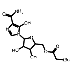 CC(C)(C)CC(=O)OCC1OC(n2cnc(C(N)=O)c2O)C(O)C1O